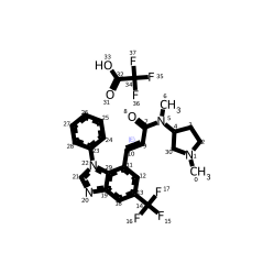 CN1CCC(N(C)C(=O)/C=C/c2cc(C(F)(F)F)cc3ncn(-c4ccccc4)c23)C1.O=C(O)C(F)(F)F